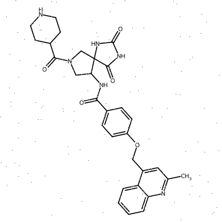 Cc1cc(COc2ccc(C(=O)NC3CN(C(=O)C4CCNCC4)CC34NC(=O)NC4=O)cc2)c2ccccc2n1